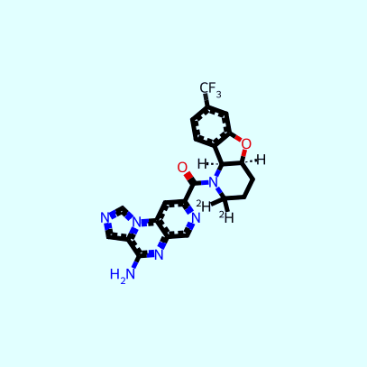 [2H]C1([2H])CC[C@@H]2Oc3cc(C(F)(F)F)ccc3[C@@H]2N1C(=O)c1cc2c(cn1)nc(N)c1cncn12